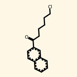 O=C(CCCCCCl)c1ccc2ccccc2c1